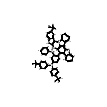 CC(C)(C)c1ccc(N(c2ccc(C(C)(C)C)cc2)c2ccc(-c3c4c5c(c6ccccc6n5-c5c(sc6ccc(C(C)(C)C)cc56)B4)c4oc5ccccc5c34)c(Nc3ccccc3)c2)cc1